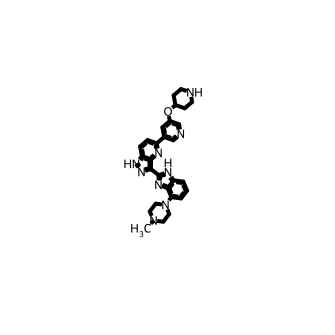 CN1CCN(c2cccc3[nH]c(-c4n[nH]c5ccc(-c6cncc(OC7CCNCC7)c6)nc45)nc23)CC1